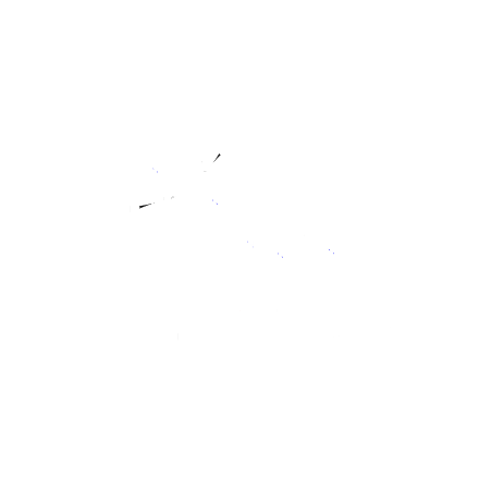 CCOC(=O)c1c(-c2ccccc2)nc2ccc(N3C[C@H]4C[C@@H]3CN4C)nn12